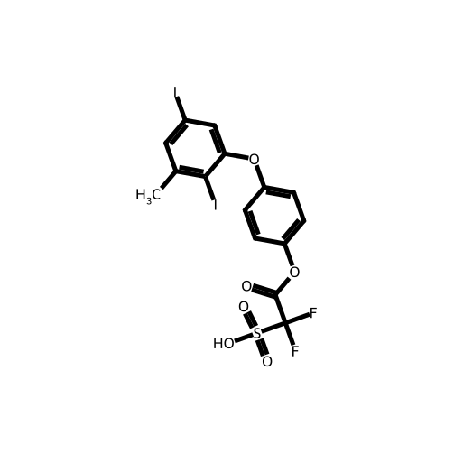 Cc1cc(I)cc(Oc2ccc(OC(=O)C(F)(F)S(=O)(=O)O)cc2)c1I